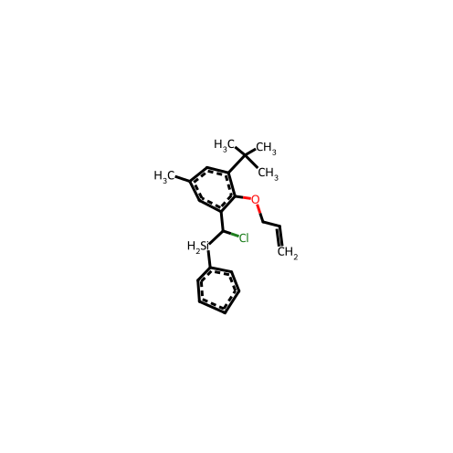 C=CCOc1c(C(Cl)[SiH2]c2ccccc2)cc(C)cc1C(C)(C)C